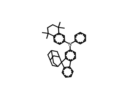 CC1(C)CCC(C)(C)c2cc(N(c3ccccc3)c3ccc4c(c3)C3(c5ccccc5-4)C4CC5CC(C4)CC3C5)ccc21